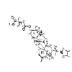 C=C(C)[C@@H]1CC[C@]2(CC(=O)N3CCCC3)CC[C@]3(C)[C@H](CC[C@@H]4[C@@]5(C)CC[C@H](OC(=O)CC(C)(C)C(=O)O)C(C)(C)[C@@H]5CC[C@]43C)[C@@H]12